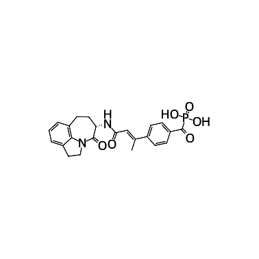 C/C(=C\C(=O)N[C@H]1CCc2cccc3c2N(CC3)C1=O)c1ccc(C(=O)P(=O)(O)O)cc1